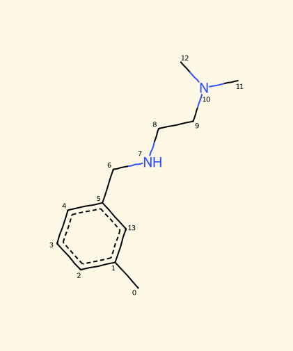 Cc1cccc(CNCCN(C)C)c1